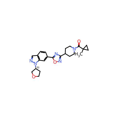 CC1(C(=O)N2CCC(c3noc(-c4ccc5cnn([C@H]6CCOC6)c5c4)n3)CC2)CC1